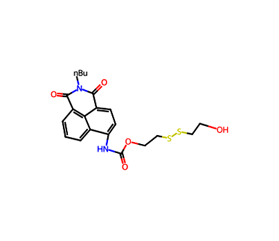 CCCCN1C(=O)c2cccc3c(NC(=O)OCCSSCCO)ccc(c23)C1=O